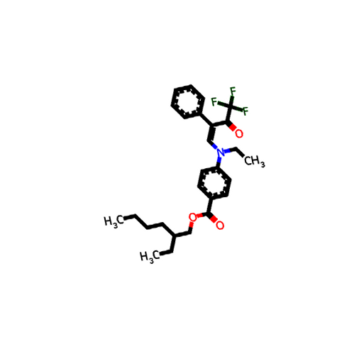 CCCCC(CC)COC(=O)c1ccc(N(/C=C(\C(=O)C(F)(F)F)c2ccccc2)CC)cc1